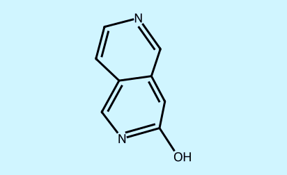 Oc1cc2cnccc2cn1